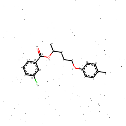 Cc1ccc(OCCCC(C)OC(=O)c2cccc(Cl)c2)cc1